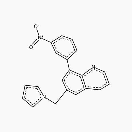 O=[N+]([O-])c1cccc(-c2cc(Cn3cccc3)cc3cccnc23)c1